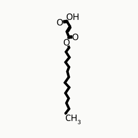 CCCCCCCCCCCCCCCOC(=O)/C=C/C(=O)O